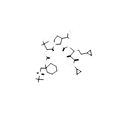 CC(C)C1CCN(C(=O)[C@@H](NC(=O)NC2(CS(=O)(=O)C(C)(C)C)CCCCC2)C(C)(C)C)[C@@H]1C(=O)N[C@@H](CCC1CC1)C(=O)C(=O)NC1CC1